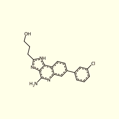 Nc1nc2cc(-c3cccc(Cl)c3)ccc2c2[nH]c(CCCO)nc12